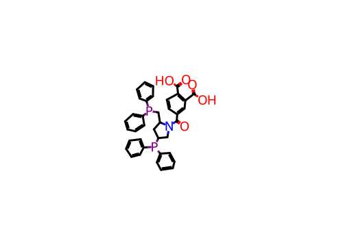 O=C(O)c1ccc(C(=O)N2CC(P(c3ccccc3)c3ccccc3)CC2CP(c2ccccc2)c2ccccc2)cc1C(=O)O